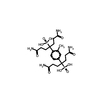 Cc1cc(C(CCC(N)=O)(CCC(N)=O)P(=O)(O)O)ccc1C(CCC(N)=O)(CCC(N)=O)P(=O)(O)O